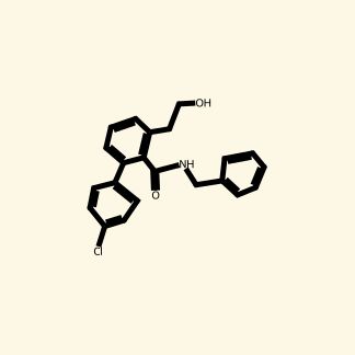 O=C(NCc1ccccc1)c1c(CCO)cccc1-c1ccc(Cl)cc1